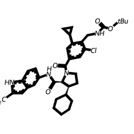 CC(C)(C)OC(=O)NCc1c(Cl)cc(C(=O)N2CC[C@@H](C3CCCCC3)[C@H]2C(=O)Nc2ccc3[nH]c(C(=O)O)cc3c2)cc1C1CC1